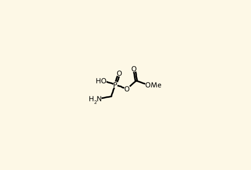 COC(=O)OP(=O)(O)CN